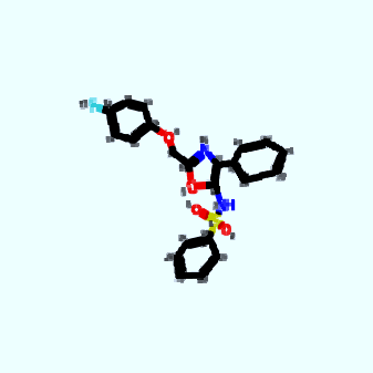 O=S(=O)(Nc1oc(COc2ccc(F)cc2)nc1-c1ccccc1)c1ccccc1